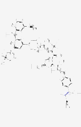 C/C(C#N)=C(/S)c1ccc([C@H](C)NC(=O)[C@@H]2C[C@@H](O)CN2C(=O)[C@@H](NC(=O)N2CCC(c3cc(Nc4cc(C#N)ccn4)nc(N4CCC(F)(F)C4)c3)CC2)C(C)(C)C)cc1